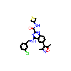 Cc1noc(C)c1-c1ccc2nc(C(=O)NC3CSC3)nc(NCc3cccc(Cl)c3)c2c1